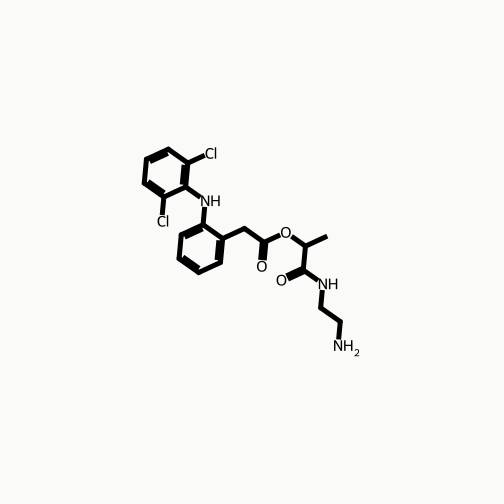 CC(OC(=O)Cc1ccccc1Nc1c(Cl)cccc1Cl)C(=O)NCCN